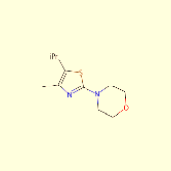 Cc1nc(N2CCOCC2)sc1C(C)C